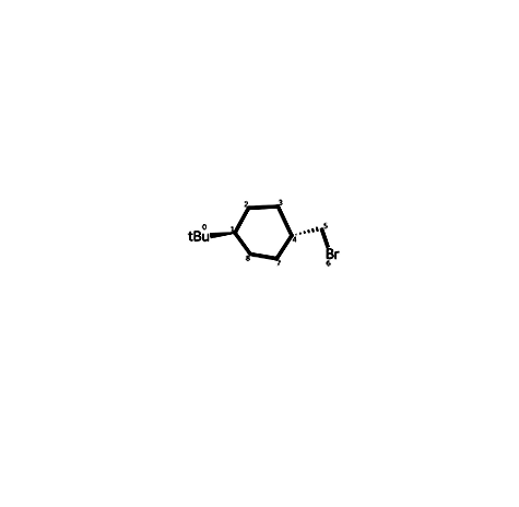 CC(C)(C)[C@H]1CC[C@H](CBr)CC1